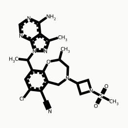 Cc1nn(C(C)c2cc(Cl)c(C#N)c3c2OC(C)CN(C2CN(S(C)(=O)=O)C2)C3)c2ncnc(N)c12